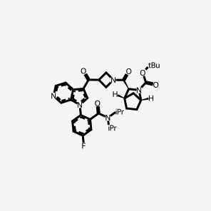 CC(C)N(C(=O)c1cc(F)ccc1-n1cc(C(=O)C2CN(C(=O)[C@@H]3[C@H]4CC[C@H](C4)N3C(=O)OC(C)(C)C)C2)c2ccncc21)C(C)C